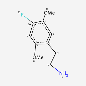 COc1cc(CCN)c(OC)cc1F